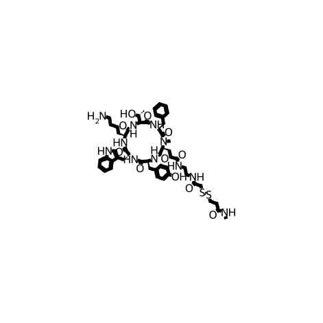 CNC(=O)CCSSCC(=O)NCCNC(=O)CC[C@H]1C(=O)N[C@@H](Cc2ccc(O)cc2)C(=O)N[C@H](Cc2c[nH]c3ccccc23)C(=O)N[C@@H](CCCCN)C(=O)NC([C@@H](C)O)C(=O)N[C@@H](Cc2ccccc2)C(=O)N1C